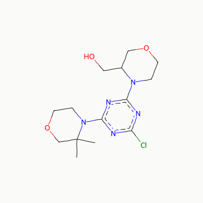 CC1(C)COCCN1c1nc(Cl)nc(N2CCOCC2CO)n1